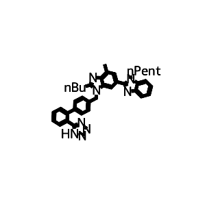 CCCCCn1c(-c2cc(C)c3nc(CCCC)n(Cc4ccc(-c5ccccc5-c5nnn[nH]5)cc4)c3c2)nc2ccccc21